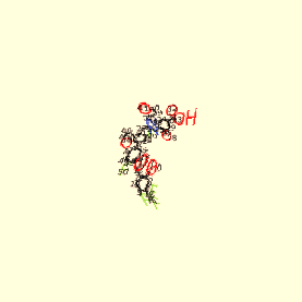 COc1cc(C(F)(F)F)ccc1COc1cc(-c2cc(F)c(Cc3nc4c(OC)cc(C(=O)O)cc4n3C[C@@H]3CCO3)c3c2OCC3)ccc1F